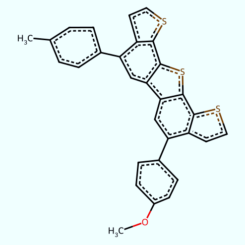 COc1ccc(-c2cc3c4cc(-c5ccc(C)cc5)c5ccsc5c4sc3c3sccc23)cc1